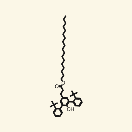 CCCCCCCCCCCCCCCCCCOC(=O)CCc1cc(-c2ccccc2C(C)(C)C)c(O)c(-c2ccccc2C(C)(C)C)c1